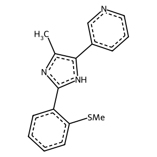 CSc1ccccc1-c1nc(C)c(-c2cccnc2)[nH]1